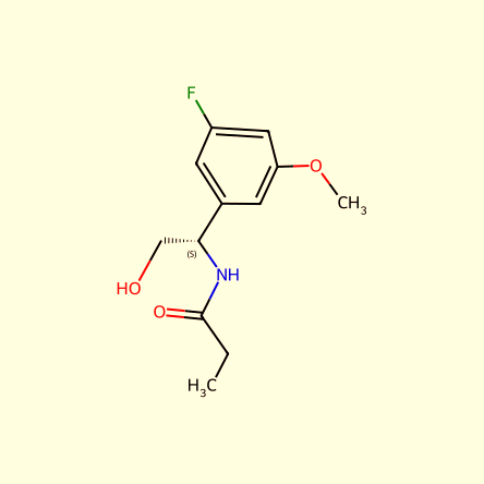 CCC(=O)N[C@H](CO)c1cc(F)cc(OC)c1